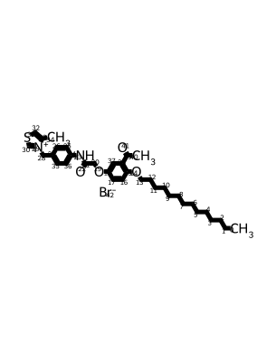 CCCCCCCCCCCCCCOc1ccc(OCC(=O)Nc2ccc(C[n+]3cscc3C)cc2)cc1C(C)=O.[Br-]